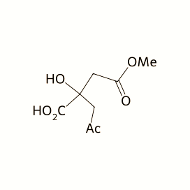 COC(=O)CC(O)(CC(C)=O)C(=O)O